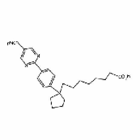 CCCCCCCCCc1cnc(-c2ccc(C3(CCCCCCCC(=O)O)CCCC3)cc2)nc1